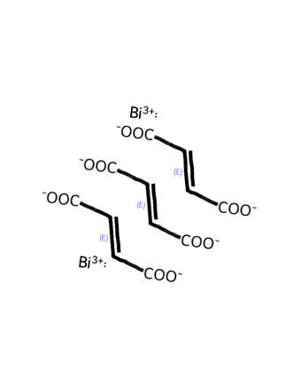 O=C([O-])/C=C/C(=O)[O-].O=C([O-])/C=C/C(=O)[O-].O=C([O-])/C=C/C(=O)[O-].[Bi+3].[Bi+3]